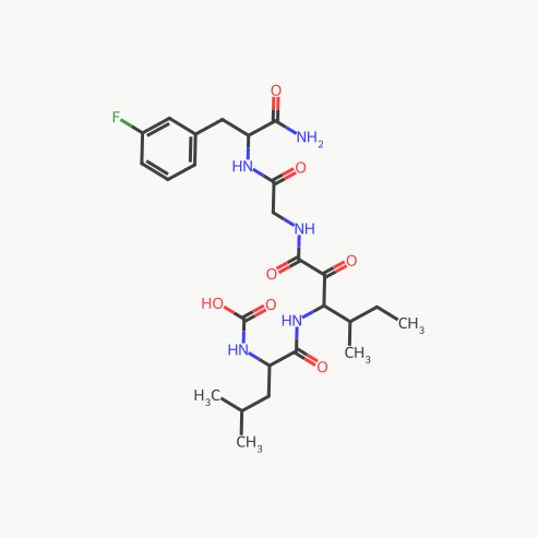 CCC(C)C(NC(=O)C(CC(C)C)NC(=O)O)C(=O)C(=O)NCC(=O)NC(Cc1cccc(F)c1)C(N)=O